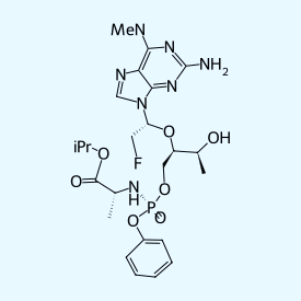 CNc1nc(N)nc2c1ncn2[C@@H](CF)O[C@H](CO[P@](=O)(N[C@H](C)C(=O)OC(C)C)Oc1ccccc1)[C@H](C)O